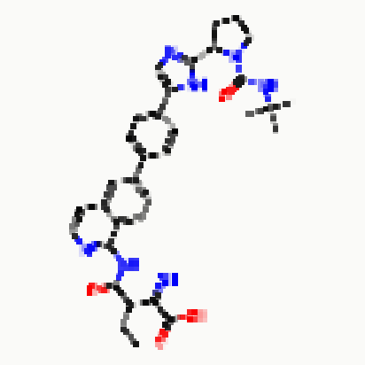 CCC(C(=N)C(=O)O)C(=O)Nc1nccc2cc(-c3ccc(-c4cnc(C5CCCN5C(=O)NC(C)(C)C)[nH]4)cc3)ccc12